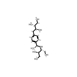 C[C@H](N[C@H](CO)[C@H](O)CO)c1cnc(C[C@H](O)[C@H](O)CO)cn1